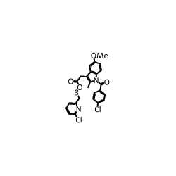 COc1ccc2c(c1)c(CC(=O)OSCc1cccc(Cl)n1)c(C)n2C(=O)c1ccc(Cl)cc1